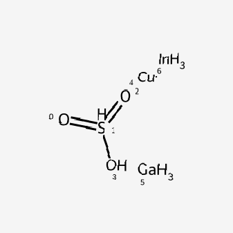 O=[SH](=O)O.[Cu].[GaH3].[InH3]